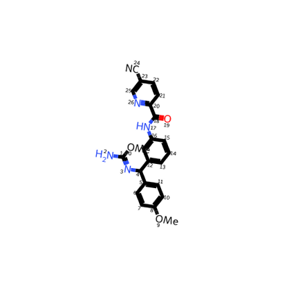 CO/C(N)=N\C(c1ccc(OC)cc1)c1cccc(NC(=O)c2ccc(C#N)cn2)c1